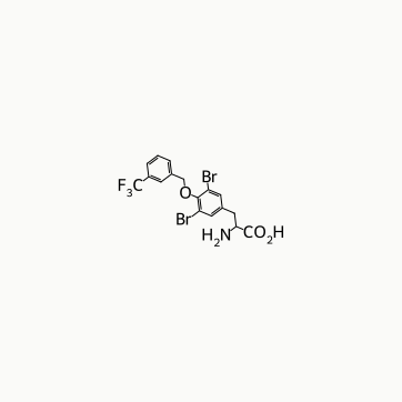 NC(Cc1cc(Br)c(OCc2cccc(C(F)(F)F)c2)c(Br)c1)C(=O)O